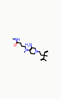 C=CC(C)(CCN1CCC(N(C)CCCC(=O)NC)=C(N)C1)C(=C)C